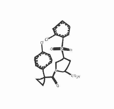 O=C(O)C1CC(S(=O)(=O)c2ccccc2Cl)CN1C(=O)C1(c2ccc(Cl)cc2)CC1